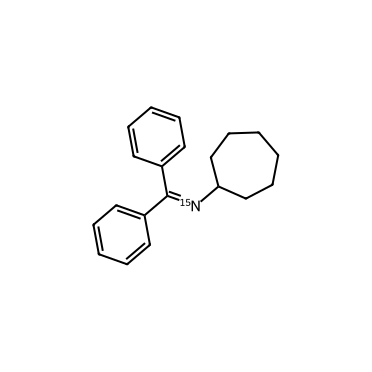 c1ccc(C(=[15N]C2CCCCCC2)c2ccccc2)cc1